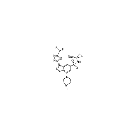 CN1CCN(c2cc(S(=O)(=O)NC3(C#N)CC3)cc3c2cnn3-c2nnc(C(F)F)s2)CC1